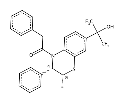 C[C@H]1Sc2cc(C(O)(C(F)(F)F)C(F)(F)F)ccc2N(C(=O)Cc2ccccc2)[C@H]1c1ccccc1